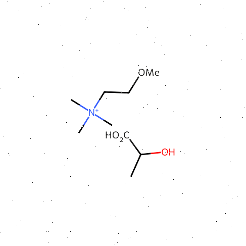 CC(O)C(=O)O.COCC[N+](C)(C)C